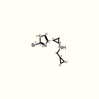 Brc1nc([C@@H]2C[C@H]2NCC2CC2)cs1